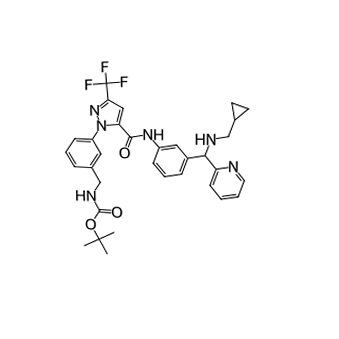 CC(C)(C)OC(=O)NCc1cccc(-n2nc(C(F)(F)F)cc2C(=O)Nc2cccc(C(NCC3CC3)c3ccccn3)c2)c1